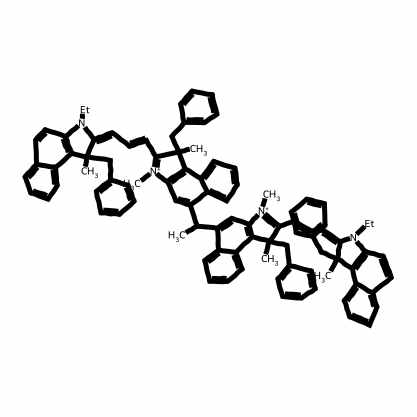 CCN1/C(=C/C=C/C2=[N+](C)c3cc(C(C)c4cc5c(c6ccccc46)C(C)(Cc4ccccc4)C(/C=C/C=C4/N(CC)c6ccc7ccccc7c6C4(C)Cc4ccccc4)=[N+]5C)c4ccccc4c3C2(C)Cc2ccccc2)C(C)(Cc2ccccc2)c2c1ccc1ccccc21